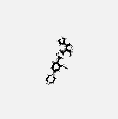 COc1cc(N2CCOCC2)ccc1-c1nnc(-c2c(-c3ccsc3)noc2C)o1